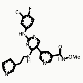 CONC(=O)c1cncc(-c2cnc(Nc3ccc(F)c(Cl)c3)nc2NCCc2cccnc2)c1